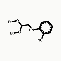 CCOC(CNc1ccccc1C#N)OCC